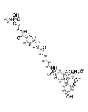 NP(=O)(O)OCCNC(=O)c1ccc(CNC(=O)CCCCCNC(=O)c2ccc(C3c4ccc(O)cc4OC4=CC(=O)C=CC43)c(C(=O)O)c2)cc1